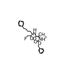 C[C@H](NC(=O)OCc1ccccc1)C(=O)NC(CCCCc1ccccc1)C(=O)CF